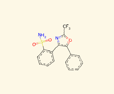 NS(=O)(=O)c1ccccc1-c1nc(C(F)(F)F)oc1-c1ccccc1